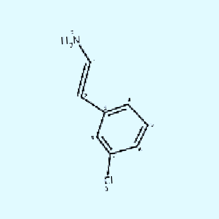 NC=Cc1cccc(Cl)c1